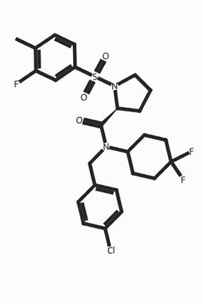 Cc1ccc(S(=O)(=O)N2CCC[C@H]2C(=O)N(Cc2ccc(Cl)cc2)C2CCC(F)(F)CC2)cc1F